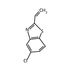 C=Cc1nc2cc(Cl)ccc2s1